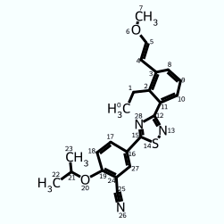 CCc1c(C=COC)cccc1-c1nsc(-c2ccc(OC(C)C)c(C#N)c2)n1